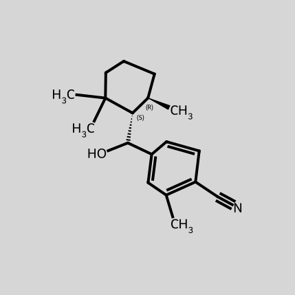 Cc1cc(C(O)[C@H]2[C@H](C)CCCC2(C)C)ccc1C#N